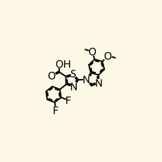 COc1cc2ncn(-c3nc(-c4cccc(F)c4F)c(C(=O)O)s3)c2cc1OC